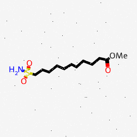 COC(=O)CCCCCCCCCCS(N)(=O)=O